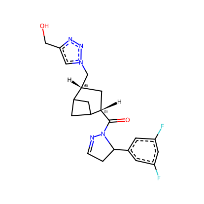 O=C([C@H]1C[C@@H](Cn2cc(CO)nn2)C2CC1C2)N1N=CCC1c1cc(F)cc(F)c1